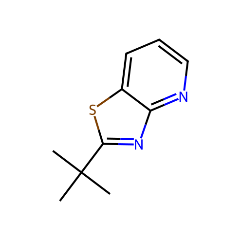 CC(C)(C)c1nc2ncccc2s1